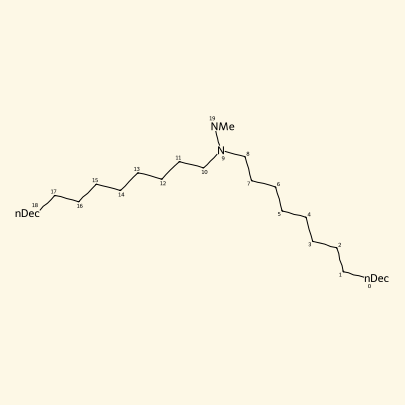 CCCCCCCCCCCCCCCCCCN(CCCCCCCCCCCCCCCCCC)NC